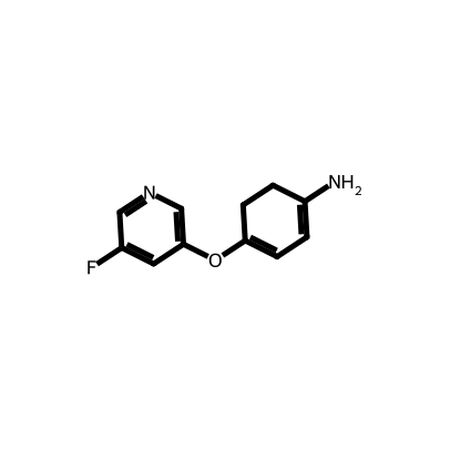 NC1=CC=C(Oc2cncc(F)c2)CC1